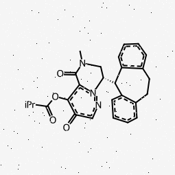 CC(C)C(=O)Oc1c2n(ncc1=O)[C@@H](C1c3ccccc3CCc3ccccc31)CN(C)C2=O